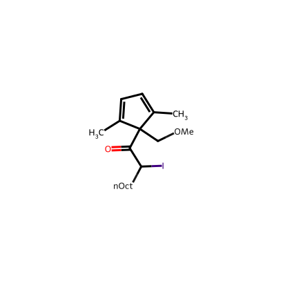 CCCCCCCCC(I)C(=O)C1(COC)C(C)=CC=C1C